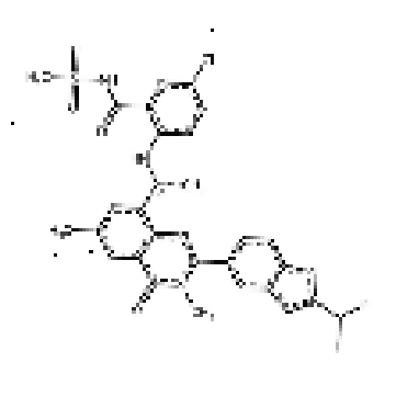 Cc1cc([C@@H](C)Nc2ccc(Cl)nc2C(=O)NS(C)(=O)=O)c2nc(-c3ccc4nn(C(F)F)cc4c3)n(C)c(=O)c2c1